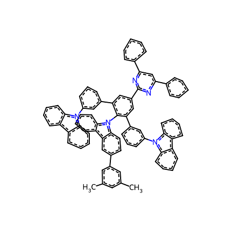 Cc1cc(C)cc(-c2ccc3c(c2)c2ccccc2n3-c2c(-c3cccc(-n4c5ccccc5c5ccccc54)c3)cc(-c3nc(-c4ccccc4)cc(-c4ccccc4)n3)cc2-c2cccc(-n3c4ccccc4c4ccccc43)c2)c1